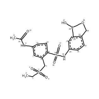 CCS(=O)(=O)Cc1cc(NC(C)=O)ccc1S(=O)(=O)Nc1ccc2c(c1)B(O)OC2